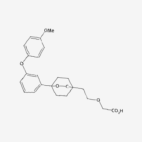 COc1ccc(Oc2cccc(C34CCC(CCOCC(=O)O)(CC3)CO4)c2)cc1